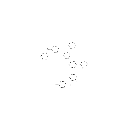 Cc1ccc(C(=O)c2ccc(Oc3ccc(-c4ccc(Oc5ccc(C(=O)c6ccc(C)cc6)cc5)c(-c5ccccc5)c4)cc3-c3ccccc3)cc2)cc1